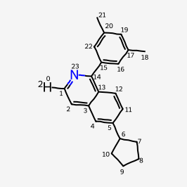 [2H]c1cc2cc(C3CCCC3)ccc2c(-c2cc(C)cc(C)c2)n1